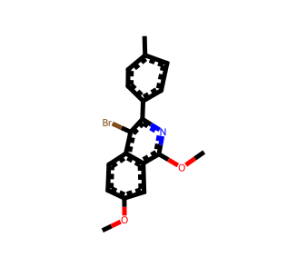 COc1ccc2c(Br)c(-c3ccc(C)cc3)nc(OC)c2c1